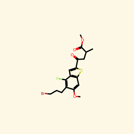 COC(=O)C(C)CC(=O)c1cc2c(F)c(CCCBr)c(OC)cc2s1